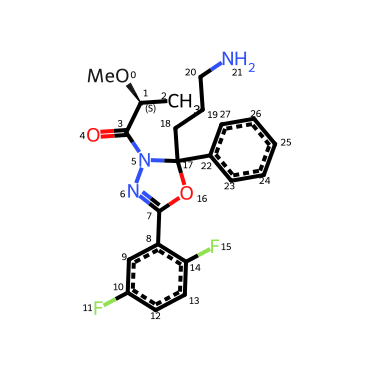 CO[C@@H](C)C(=O)N1N=C(c2cc(F)ccc2F)OC1(CCCN)c1ccccc1